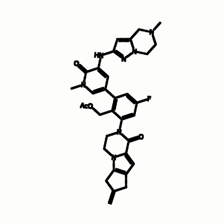 C=C1Cc2cc3n(c2C1)CCN(c1cc(F)cc(-c2cc(Nc4cc5n(n4)CCN(C)C5)c(=O)n(C)c2)c1COC(C)=O)C3=O